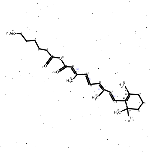 CCCCCCCCCCCCCCCC(=O)OC(=O)/C=C(C)/C=C/C=C(C)/C=C/C1=C(C)CCCC1(C)C